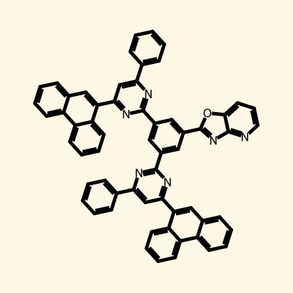 c1ccc(-c2cc(-c3cc4ccccc4c4ccccc34)nc(-c3cc(-c4nc(-c5ccccc5)cc(-c5cc6ccccc6c6ccccc56)n4)cc(-c4nc5ncccc5o4)c3)n2)cc1